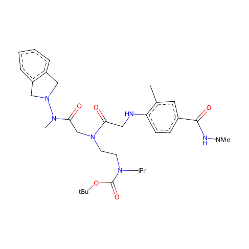 CNNC(=O)c1ccc(NCC(=O)N(CCN(C(=O)OC(C)(C)C)C(C)C)CC(=O)N(C)N2Cc3ccccc3C2)c(C)c1